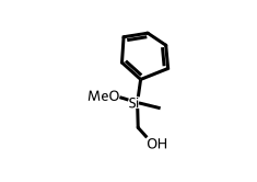 CO[Si](C)(CO)c1ccccc1